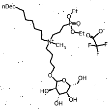 CCCCCCCCCCCCCCCC[N+](C)(CCCCOC1O[C@H](CO)[C@@H](O)[C@H](O)[C@H]1O)CCCP(=O)(OCC)OCC.O=C([O-])C(F)(F)F